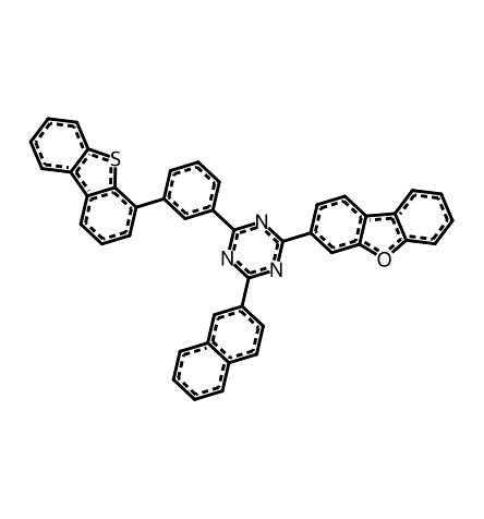 c1cc(-c2nc(-c3ccc4ccccc4c3)nc(-c3ccc4c(c3)oc3ccccc34)n2)cc(-c2cccc3c2sc2ccccc23)c1